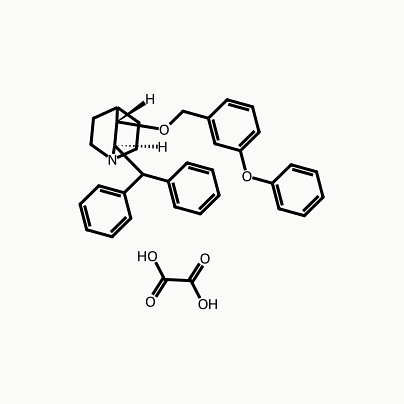 O=C(O)C(=O)O.c1ccc(Oc2cccc(CO[C@H]3C4CCN(CC4)[C@@H]3C(c3ccccc3)c3ccccc3)c2)cc1